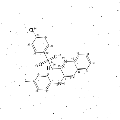 Cc1ccc(Nc2nc3ccccc3nc2NS(=O)(=O)C2=CCC(Cl)C=C2)cc1